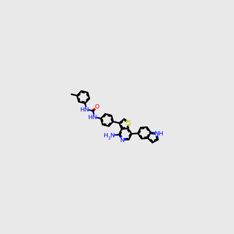 Cc1cccc(NC(=O)Nc2ccc(-c3csc4c(-c5ccc6[nH]ccc6c5)cnc(N)c34)cc2)c1